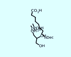 CC(=O)O.CC(=O)O.CCCCCCCCCCCCCCCCCC(=O)O.OCC(O)CO